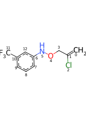 C=C(Cl)CONc1cccc(C(F)(F)F)c1